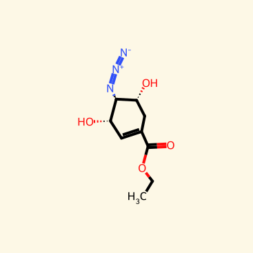 CCOC(=O)C1=C[C@H](O)[C@H](N=[N+]=[N-])[C@H](O)C1